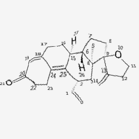 C=C[C@H]1C[C@@]2(C)[C@@H](CC[C@@]23OCCC3=C)[C@@H]2CCC3=CC(=O)CCC3=C21